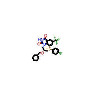 O=c1[nH]c(=O)n2c3c(cc(C(F)(F)F)cc13)[SH](c1ccc(F)cc1)C[C@@H](OCc1ccccc1)C2